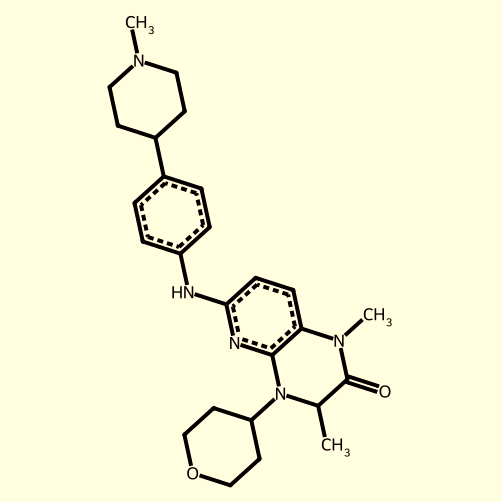 CC1C(=O)N(C)c2ccc(Nc3ccc(C4CCN(C)CC4)cc3)nc2N1C1CCOCC1